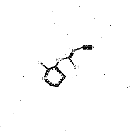 N#CN=C(S)Nc1cccnc1Cl